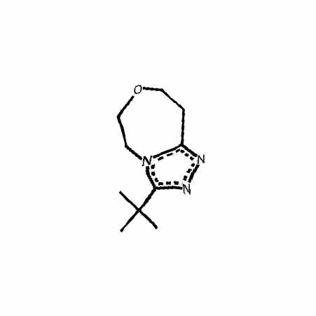 CC(C)(C)c1nnc2n1CCOCC2